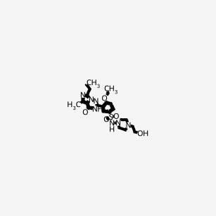 CCCc1nc(C)c2c(=O)[nH]c(-c3cc(S(=O)(=O)NN4CCN(CCO)CC4)ccc3OCC)nn12